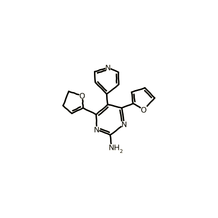 Nc1nc(C2=CCCO2)c(-c2ccncc2)c(-c2ccco2)n1